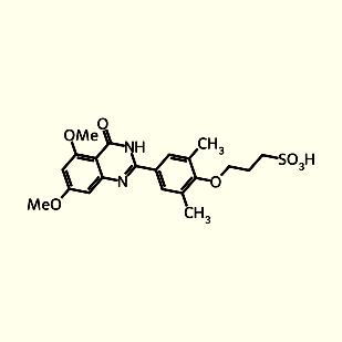 COc1cc(OC)c2c(=O)[nH]c(-c3cc(C)c(OCCCS(=O)(=O)O)c(C)c3)nc2c1